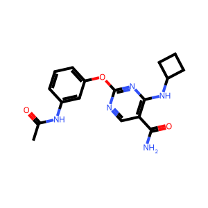 CC(=O)Nc1cccc(Oc2ncc(C(N)=O)c(NC3CCC3)n2)c1